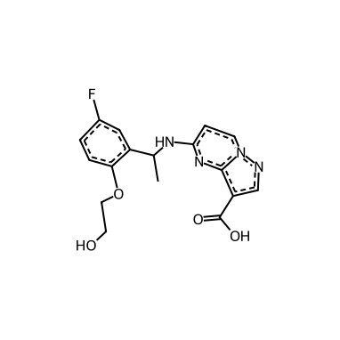 CC(Nc1ccn2ncc(C(=O)O)c2n1)c1cc(F)ccc1OCCO